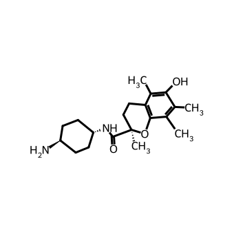 Cc1c(C)c2c(c(C)c1O)CC[C@](C)(C(=O)N[C@H]1CC[C@H](N)CC1)O2